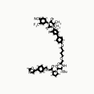 CC(C)(C)[C@H](NC(=O)COCCCCOc1ccc(-c2ccc(N3C(=S)N(c4ccc(C#N)c(C(F)(F)F)c4)C(=O)C3(C)C)c(F)c2)cc1)C(=O)N1CCC[C@H]1C(=O)NCc1ccc(-c2cnco2)cc1